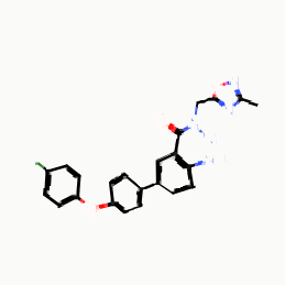 Cc1noc(CN(N)C(=O)c2cc(-c3ccc(Oc4ccc(Cl)cc4)cc3)ccc2N)n1